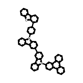 c1ccc2c(c1)oc1c(-c3ccc(-n4c5ccccc5c5cc(-c6ccc7c(c6)c6ccccc6n7-c6ccc7c8ccccc8c8ccccc8c7c6)ccc54)cc3)cccc12